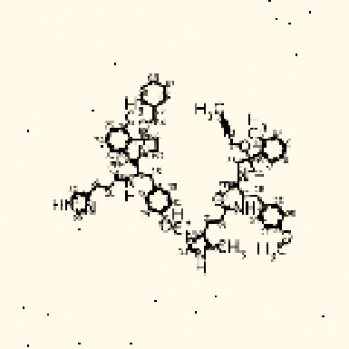 CC#CCOC1(c2ccccc2C)CN(C(=O)[C@@H](Cc2ccc(OC)cc2)NC(=O)CCc2nc[nH]c2C)C1.COc1ccc(C[C@@H](NC(=O)CCc2c[nH]cn2)C(=O)N2CC[C@]2(OCC2CCCCC2)c2ccccc2C)cc1